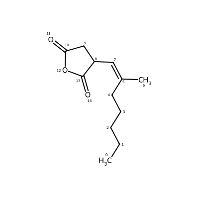 CCCCCC(C)=CC1CC(=O)OC1=O